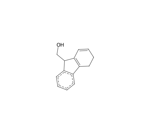 OCC1C2=C(CCC=C2)c2ccccc21